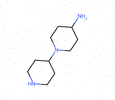 NC1CCN(C2CCNCC2)CC1